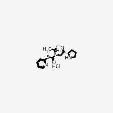 CC(C)N(CC(=O)[C@@H]1CCCN1)C(=O)Sc1ccccn1.Cl